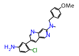 COc1ccc(CN(C)c2cc3ncc(-c4cc(N)ccc4Cl)cc3cn2)cc1